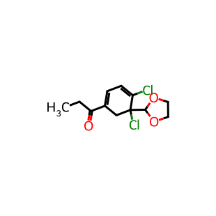 CCC(=O)C1=CC=C(Cl)C(Cl)(C2OCCO2)C1